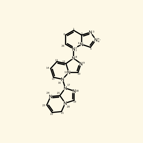 C1=CC2=N[N+]=CN2[N+](N2N=CN3C2=CC=CN3N2N=CN3CC=CN=C32)=C1